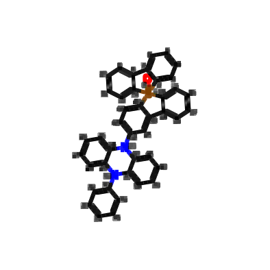 O=S12(c3ccccc3-c3ccccc31)c1ccccc1-c1cc(N3c4ccccc4N(c4ccccc4)c4ccccc43)ccc12